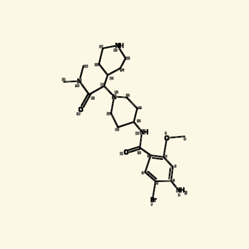 COc1cc(N)c(Br)cc1C(=O)NC1CCN(C(C(=O)N(C)C)C2CCNCC2)CC1